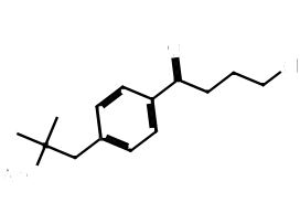 CC(=O)OC(C)(C)Cc1ccc(C(=O)CCCCl)cc1